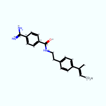 C/C(=C\C(=O)O)c1ccc(CCNC(=O)c2ccc(C(=N)N)cc2)cc1